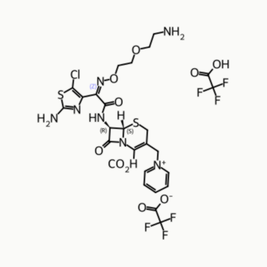 NCCOCCO/N=C(\C(=O)N[C@@H]1C(=O)N2C(C(=O)O)=C(C[n+]3ccccc3)CS[C@@H]12)c1nc(N)sc1Cl.O=C(O)C(F)(F)F.O=C([O-])C(F)(F)F